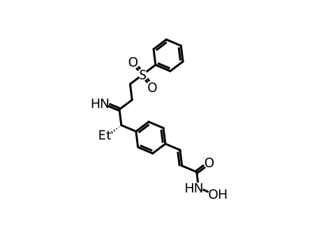 CC[C@H](C(=N)CCS(=O)(=O)c1ccccc1)c1ccc(/C=C/C(=O)NO)cc1